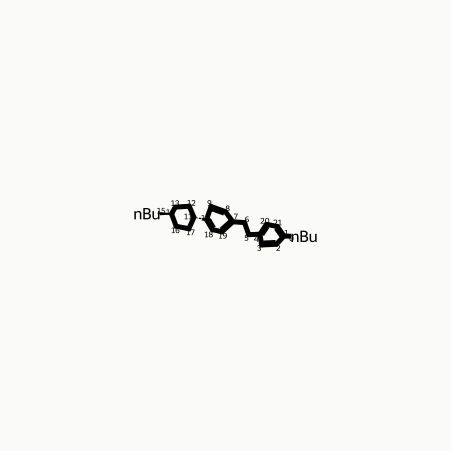 CCCCc1ccc(CCc2ccc([C@H]3CC[C@H](CCCC)CC3)cc2)cc1